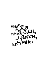 CCCCCCc1cc(CC)ccc1C(=O)OC(C)C(C)OC(=O)c1ccc(CC)cc1CCCCCC